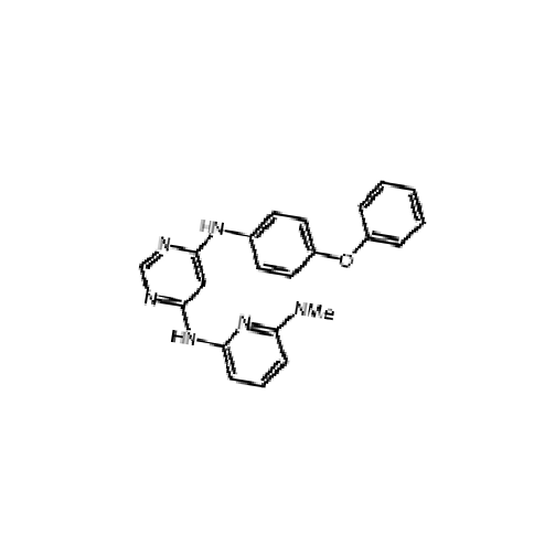 CNc1cccc(Nc2cc(Nc3ccc(Oc4ccccc4)cc3)ncn2)n1